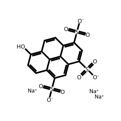 O=S(=O)([O-])c1cc2c(S(=O)(=O)[O-])cc(S(=O)(=O)[O-])c3ccc4c(O)ccc1c4c32.[Na+].[Na+].[Na+]